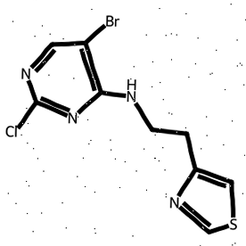 Clc1ncc(Br)c(NCCc2cscn2)n1